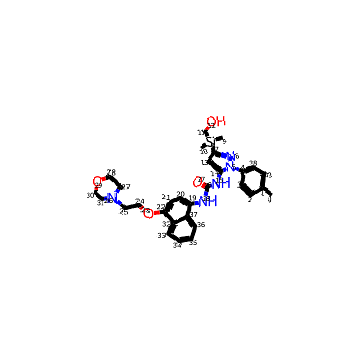 Cc1ccc(-n2nc([Si](C)(C)CO)cc2NC(=O)Nc2ccc(OCCN3CCOCC3)c3ccccc23)cc1